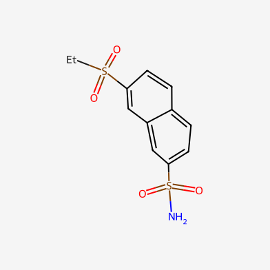 CCS(=O)(=O)c1ccc2ccc(S(N)(=O)=O)cc2c1